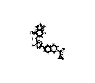 Cn1nc(-c2ccc3c(c2)CCN(C(=O)C2CC2)C3)nc1Nc1ccc2[nH]ncc2c1Cl